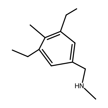 CCc1cc(CNC)cc(CC)c1C